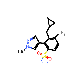 CC(C)(C)n1cc(-c2c(S(N)(=O)=O)ccc(C(F)(F)F)c2CC2CC2)cn1